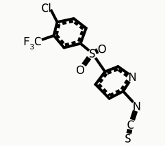 O=S(=O)(c1ccc(N=C=S)nc1)c1ccc(Cl)c(C(F)(F)F)c1